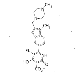 CCc1c(-c2ccc3c(c2)cc(CN2CCN(C)CC2)n3C)[nH]c(=O)c(C(=O)O)c1O